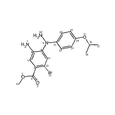 COC(=O)c1cc(N)c(N(N)c2ccc(OC(C)C)cc2)cc1Br